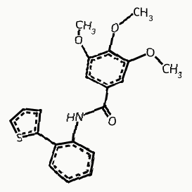 COc1cc(C(=O)Nc2ccccc2-c2cccs2)cc(OC)c1OC